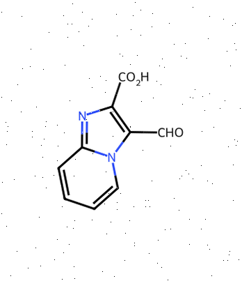 O=Cc1c(C(=O)O)nc2ccccn12